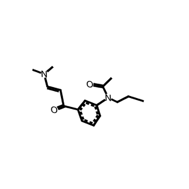 CCCN(C(C)=O)c1cccc(C(=O)C=CN(C)C)c1